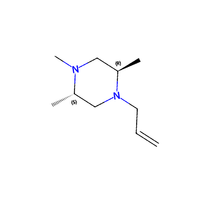 C=CCN1C[C@H](C)N(C)C[C@H]1C